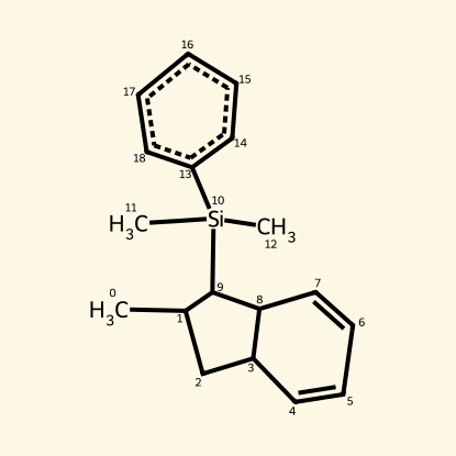 CC1CC2C=CC=CC2C1[Si](C)(C)c1ccccc1